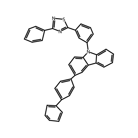 c1ccc(-c2ccc(-c3ccc4c(c3)c3ccccc3n4-c3cccc(-c4nc(-c5ccccc5)ns4)c3)cc2)cc1